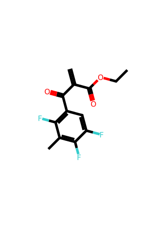 C=C(C(=O)OCC)C(=O)c1cc(F)c(F)c(C)c1F